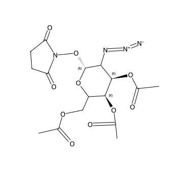 CC(=O)OCC1O[C@H](ON2C(=O)CCC2=O)C(N=[N+]=[N-])[C@@H](OC(C)=O)[C@H]1OC(C)=O